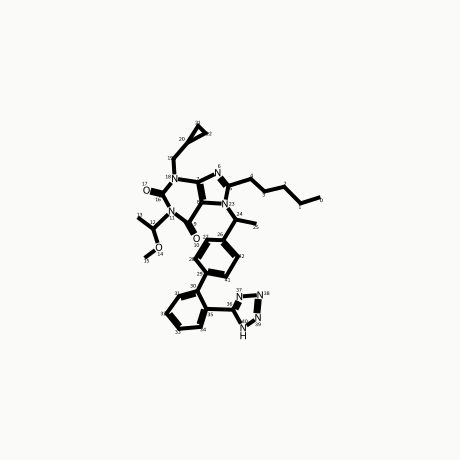 CCCCCc1nc2c(c(=O)n(C(C)OC)c(=O)n2CC2CC2)n1C(C)c1ccc(-c2ccccc2-c2nnn[nH]2)cc1